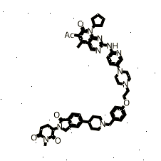 CC(=O)c1c(C)c2cnc(Nc3ccc(N4CCN(CCOc5ccc(CN6CCC(c7ccc8c(c7)CN(C7CCC(=O)N(C)C7=O)C8=O)CC6)cc5)CC4)cn3)nc2n(C2CCCC2)c1=O